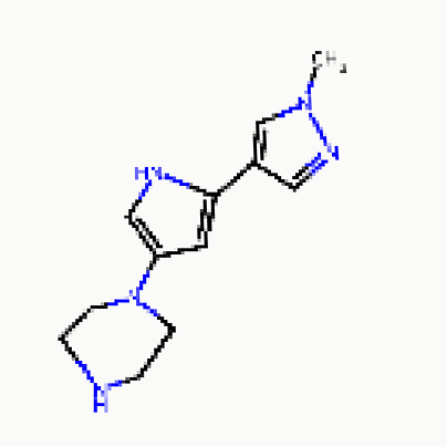 Cn1cc(-c2cc(N3CCNCC3)c[nH]2)cn1